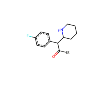 CCC(=O)C(c1ccc(F)cc1)C1CCCCN1